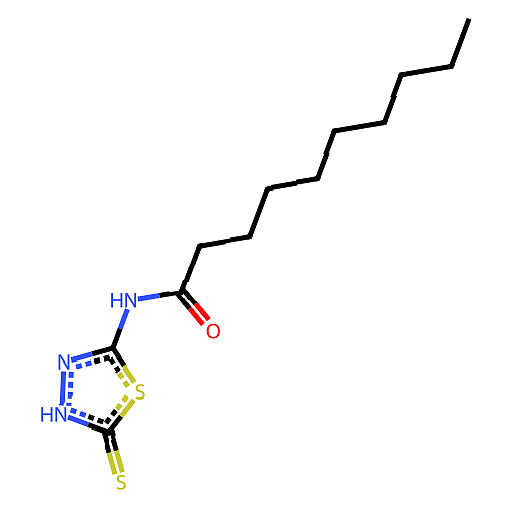 CCCCCCCCCC(=O)Nc1n[nH]c(=S)s1